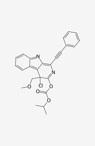 COCC1(Cl)C(OC(=O)OC(C)C)=NC(C#Cc2ccccc2)=C2N=c3ccccc3=C21